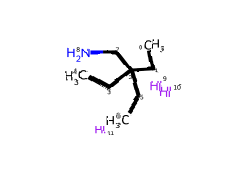 CCC(CC)(CC)CN.I.I.I